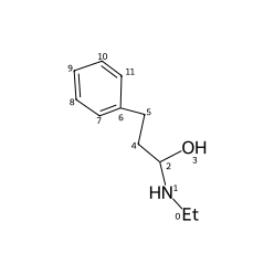 CCNC(O)CCc1ccccc1